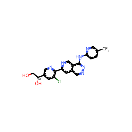 OC[C@@H](O)c1cnc(-c2cc3cnnc(Nc4ccc(C(F)(F)F)cn4)c3cn2)c(Cl)c1